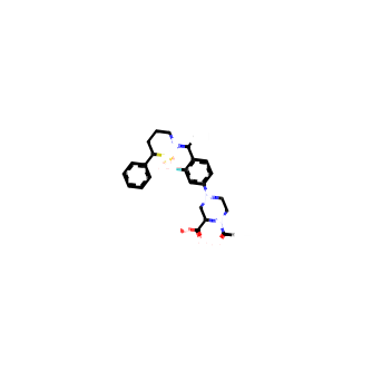 COC(=O)C1CN(c2ccc(C(C)N3CCCC(c4ccccc4)S3(=O)=O)c(F)c2)CCN1C(C)=O